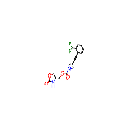 O=C1N[C@H](COC(=O)N2CC(C#Cc3ccccc3C(F)F)C2)CO1